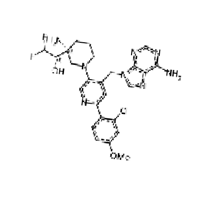 COc1ccc(-c2cc(Cn3cnc4c(N)ncnc43)c(N3CCC[C@](N)([C@H](O)C(F)F)C3)cn2)c(Cl)c1